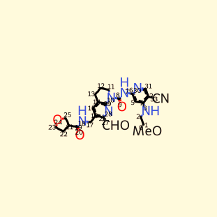 COCCNc1cc(NC(=O)N2CCCc3cc(CNC(=O)C4CCOC4)c(C=O)nc32)ncc1C#N